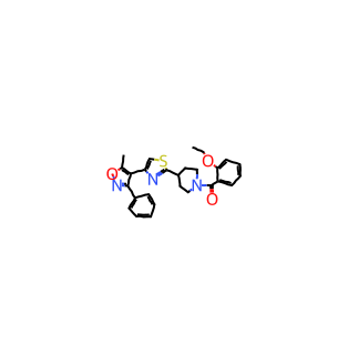 CCOc1ccccc1C(=O)N1CCC(c2nc(-c3c(-c4ccccc4)noc3C)cs2)CC1